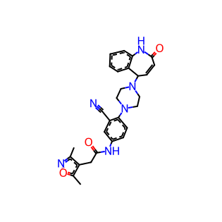 Cc1noc(C)c1CC(=O)Nc1ccc(N2CCN(C3C=CC(=O)Nc4ccccc43)CC2)c(C#N)c1